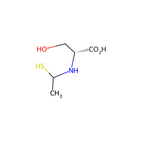 CC(S)N[C@H](CO)C(=O)O